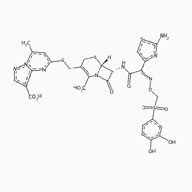 Cc1cc(SCC2=C(C(=O)O)N3C(=O)[C@@H](NC(=O)/C(=N\OCS(=O)(=O)c4ccc(O)c(O)c4)c4csc(N)n4)[C@H]3SC2)nc2c(C(=O)O)cnn12